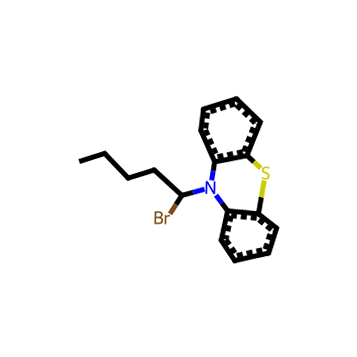 CCCCC(Br)N1c2ccccc2Sc2ccccc21